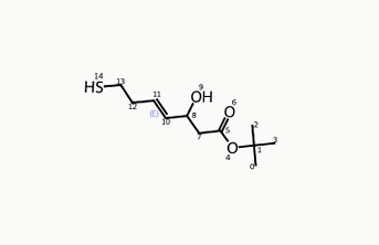 CC(C)(C)OC(=O)CC(O)/C=C/CCS